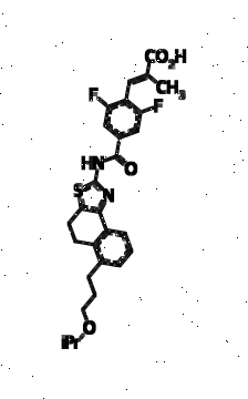 CC(=Cc1c(F)cc(C(=O)Nc2nc3c(s2)CCc2c(CCCOC(C)C)cccc2-3)cc1F)C(=O)O